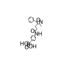 Cc1noc(-c2ccccc2)c1CCC(=O)Nc1ccc(C(C)(C)P(=O)(O)O)cc1